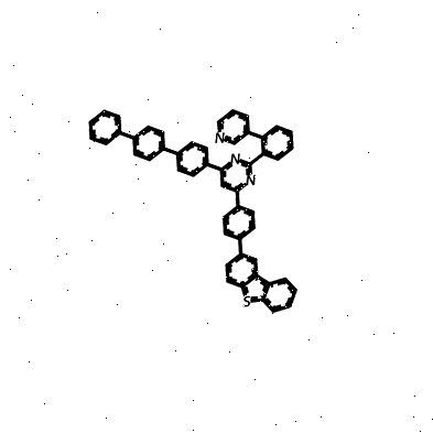 c1ccc(-c2ccc(-c3ccc(-c4cc(-c5ccc(-c6ccc7sc8ccccc8c7c6)cc5)nc(-c5ccccc5-c5cccnc5)n4)cc3)cc2)cc1